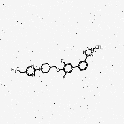 CCc1cnc(N2CCC(COc3c(F)cc(-c4cccc(-c5nnn(C)n5)c4)cc3F)CC2)nc1